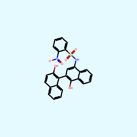 O=[N+]([O-])c1ccccc1S(=O)(=O)Nc1cc(-c2c(O)ccc3ccccc23)c(O)c2ccccc12